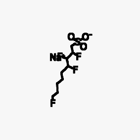 O=S(=O)([O-])CC(F)C(F)C(F)CCCCCF.[Na+]